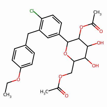 CCOc1ccc(Cc2cc(C3OC(COC(C)=O)C(O)C(O)C3OC(C)=O)ccc2Cl)cc1